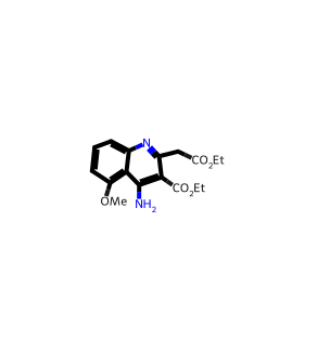 CCOC(=O)Cc1nc2cccc(OC)c2c(N)c1C(=O)OCC